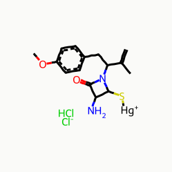 C=C(C)C(Cc1ccc(OC)cc1)N1C(=O)C(N)C1[S][Hg+].Cl.[Cl-]